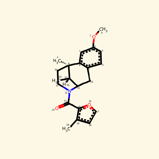 COc1ccc2c(c1)[C@]1(C)CCN(C(=O)c3occc3C)C(C2)[C@@H]1C